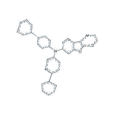 c1ccc(-c2ccc(N(c3ccc(-c4ccccc4)cc3)c3ccc4c(c3)oc3cccnc34)cc2)cc1